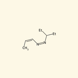 C/C=C\N=N/C(CC)CC